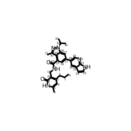 CCCc1cc(C)[nH]c(=O)c1CNC(=O)c1cc(-c2cnc3[nH]ccc3c2)cc2c1c(C)nn2C(C)C